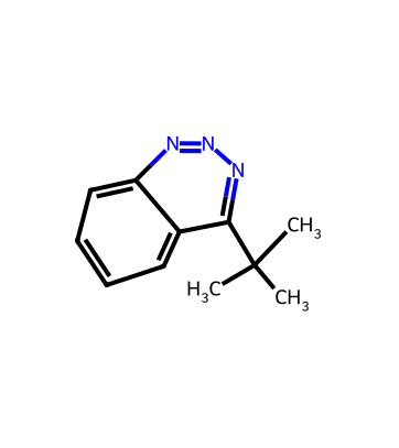 CC(C)(C)c1nnnc2ccccc12